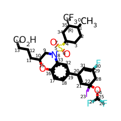 CC1CCC(S(=O)(=O)N2CC(CCCC(=O)O)Oc3ccc(C4=CC(I)(OC(F)F)CC(F)=C4)cc32)C[C@H]1C(F)(F)F